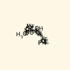 COc1ccc2ncc(F)c([C@@H](O)CCC3(CO)CCN(CCCc4cc(F)cc(F)c4F)CC3)c2c1